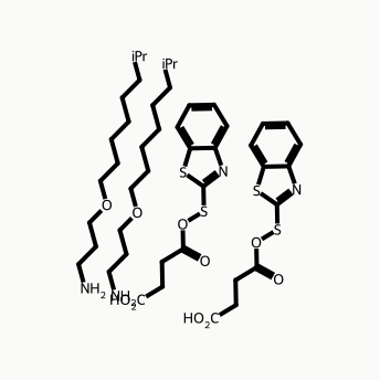 CC(C)CCCCCCOCCCN.CC(C)CCCCCCOCCCN.O=C(O)CCC(=O)OSc1nc2ccccc2s1.O=C(O)CCC(=O)OSc1nc2ccccc2s1